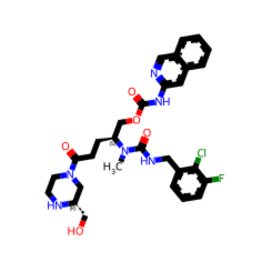 CN(C(=O)NCc1cccc(F)c1Cl)[C@@H](CCC(=O)N1CCN[C@@H](CO)C1)COC(=O)Nc1cc2ccccc2cn1